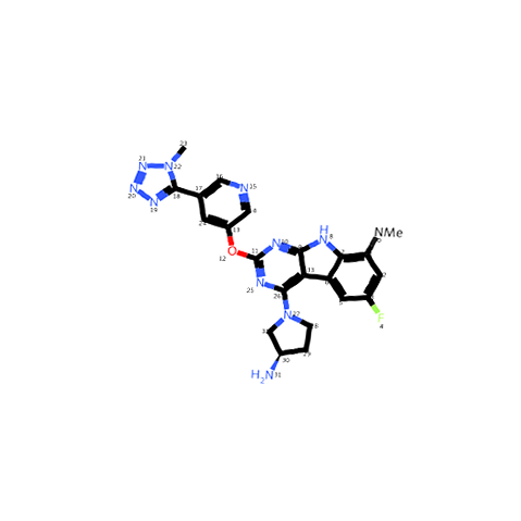 CNc1cc(F)cc2c1[nH]c1nc(Oc3cncc(-c4nnnn4C)c3)nc(N3CC[C@@H](N)C3)c12